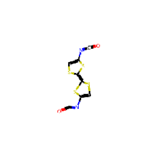 O=C=NC1=CSC(=C2SC=C(N=C=O)S2)S1